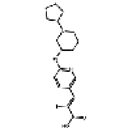 O=C(O)C(F)=Cc1ccc(N[C@@H]2CCCN(C3CCCC3)C2)nc1